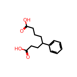 O=C(O)CCCC(CCC(=O)O)c1ccccc1